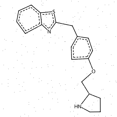 c1ccc2sc(Cc3ccc(OCC4CCCN4)cc3)nc2c1